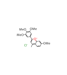 COc1ccc2c(C)cc(-c3cc(OC)c(OC)c(OC)c3)[o+]c2c1.[Cl-]